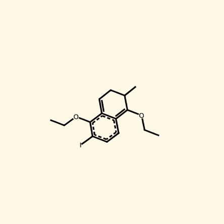 CCOC1=c2ccc(I)c(OCC)c2=CCC1C